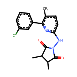 CC1C(=O)N(Nc2ccc(C(F)(F)F)c(-c3cccc(Cl)c3)n2)C(=O)C1C